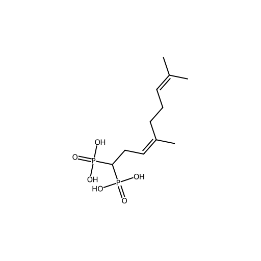 CC(C)=CCC/C(C)=C\CC(P(=O)(O)O)P(=O)(O)O